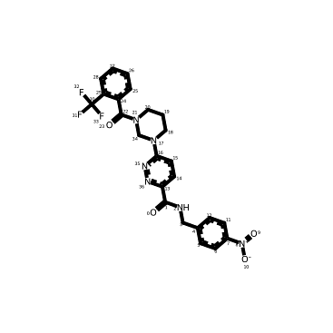 O=C(NCc1ccc([N+](=O)[O-])cc1)c1ccc(N2CCCN(C(=O)c3ccccc3C(F)(F)F)C2)nn1